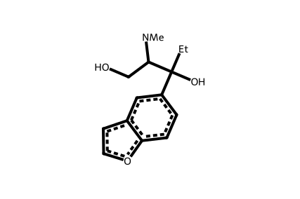 CCC(O)(c1ccc2occc2c1)C(CO)NC